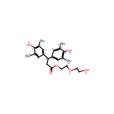 CC(C)(C)c1cc(C(CC(=O)OCCOCCO)c2cc(C(C)(C)C)c(O)c(C(C)(C)C)c2)cc(C(C)(C)C)c1O